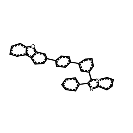 c1ccc(-c2nc3ccccn3c2-c2cccc(-c3ccc(-c4ccc5c(c4)oc4ccccc45)cc3)c2)cc1